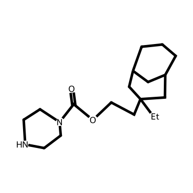 CCC1(CCOC(=O)N2CCNCC2)CC2CCCC(C2)C1